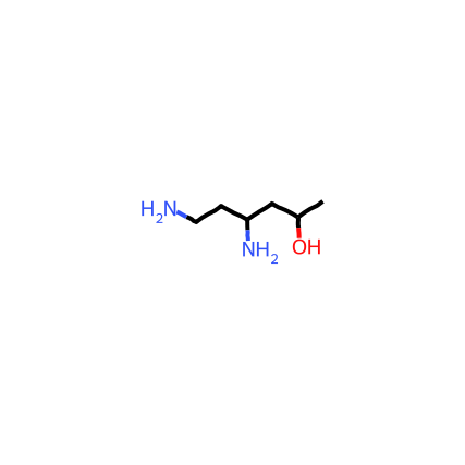 CC(O)CC(N)CCN